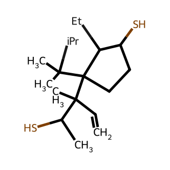 C=CC(C)(C(C)S)C1(C(C)(C)C(C)C)CCC(S)C1CC